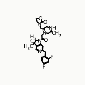 C[C@@H]1CN(CC(=O)N2CC(C)(C)c3cnc(Cc4ccc(F)cc4F)cc32)[C@@H](CN2CCOC2=O)CN1